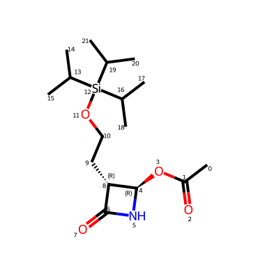 CC(=O)O[C@H]1NC(=O)[C@@H]1CCO[Si](C(C)C)(C(C)C)C(C)C